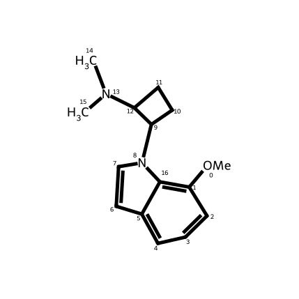 COc1cccc2ccn(C3CCC3N(C)C)c12